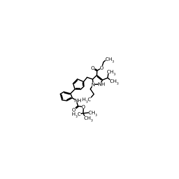 CCCN1NC(C(C)C)=C(C(=O)OCC)C1Cc1ccc(-c2ccccc2NC(=O)OC(C)(C)C)cc1